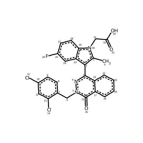 Cc1c(-c2nn(Cc3ccc(Cl)cc3Cl)c(=O)c3ccccc23)c2cc(F)ccc2n1CC(=O)O